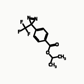 CC(C)OC(=O)c1ccc(C2(C(F)(F)F)N=N2)cc1